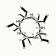 C=C[Si]1(C)N[Si](C)(C=C)N[Si](C)(C=C)N[Si](C)(C=C)N[Si](C)(C=C)N1